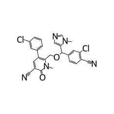 Cn1cncc1C(OCc1c(-c2cccc(Cl)c2)cc(C#N)c(=O)n1C)c1ccc(C#N)c(Cl)c1